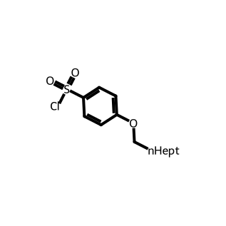 CCCCCCCCOc1ccc(S(=O)(=O)Cl)cc1